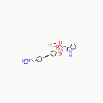 COC(=O)[C@@H](Cc1c[nH]c2ccccc12)NS(=O)(=O)c1ccc(C#Cc2ccc(CCn3ccnc3)cc2)cc1